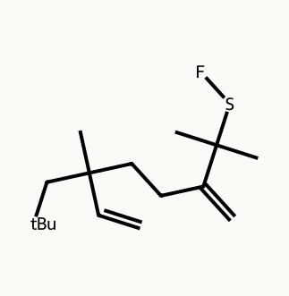 C=CC(C)(CCC(=C)C(C)(C)SF)CC(C)(C)C